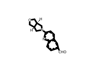 O=Cc1ccc2nc(N3C[C@H]4COC[C@H]4C3)ccc2c1